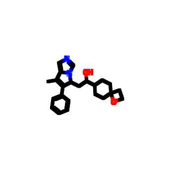 CC1=C(c2ccccc2)C(CC(O)C2CCC3(CCO3)CC2)n2cncc21